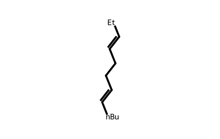 CC/C=C/CC/C=C/CCCC